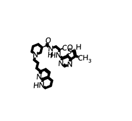 Cc1csc2c(N[C@@H](CNC(=O)[C@@H]3CCCN(CCCc4ccc5c(n4)NCCC5)C3)C(=O)O)ncnc12